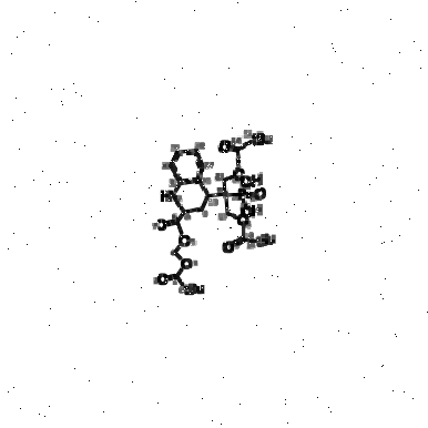 CC(C)(C)C(=O)OCOC(=O)C1CC(C(COC(=O)C(C)(C)C)(COC(=O)C(C)(C)C)P(=O)(O)O)c2ccccc2N1